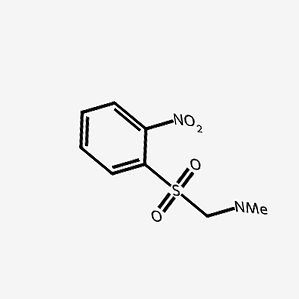 CNCS(=O)(=O)c1ccccc1[N+](=O)[O-]